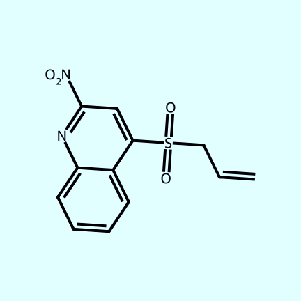 C=CCS(=O)(=O)c1cc([N+](=O)[O-])nc2ccccc12